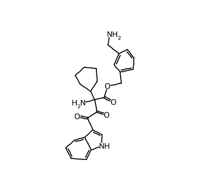 NCc1cccc(COC(=O)C(N)(C(=O)C(=O)c2c[nH]c3ccccc23)C2CCCCC2)c1